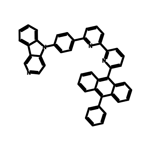 c1ccc(-c2c3ccccc3c(-c3cccc(-c4cccc(-c5ccc(-n6c7ccccc7c7cnccc76)cc5)n4)n3)c3ccccc23)cc1